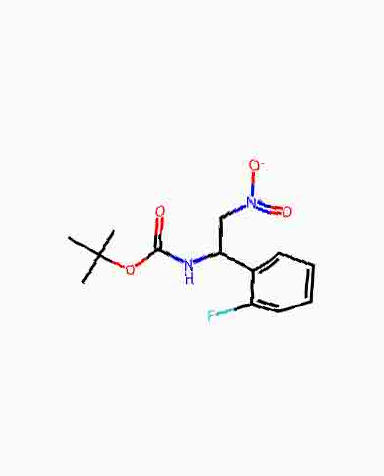 CC(C)(C)OC(=O)NC(C[N+](=O)[O-])c1ccccc1F